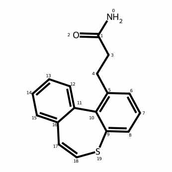 NC(=O)CCc1cccc2c1-c1ccccc1C=CS2